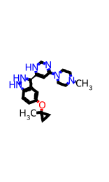 CN1CCN(C2=NCNC([C@@H]3NNc4ccc(OC5(C)CC5)cc43)=C2)CC1